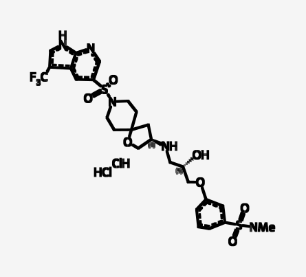 CNS(=O)(=O)c1cccc(OC[C@@H](O)CN[C@H]2COC3(CCN(S(=O)(=O)c4cnc5[nH]cc(C(F)(F)F)c5c4)CC3)C2)c1.Cl.Cl